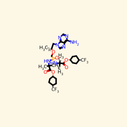 C[C@H](Cn1cnc2c(N)ncnc21)OCP(=O)(NC(C)(C)C(=O)O[C@H]1CC[C@H](C(F)(F)F)CC1)NC(C)(C)C(=O)O[C@H]1CC[C@H](C(F)(F)F)CC1